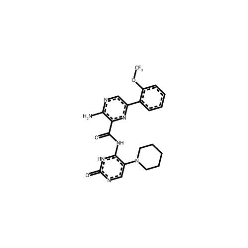 Nc1ncc(-c2ccccc2OC(F)(F)F)nc1C(=O)Nc1[nH]c(=O)ncc1N1CCCCC1